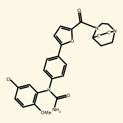 COc1ccc(Cl)cc1N(C(N)=O)c1ccc(-c2ccc(C(=O)N3CCN4CCC3CC4)o2)cc1